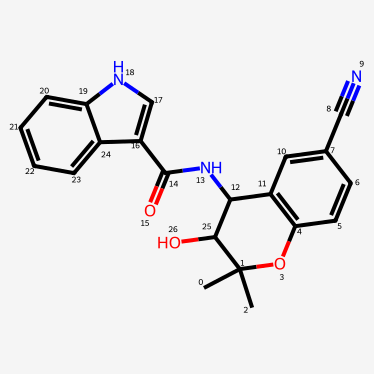 CC1(C)Oc2ccc(C#N)cc2C(NC(=O)c2c[nH]c3ccccc23)C1O